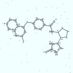 Cc1cc(Cc2ccc(C(=O)NC3CCCC3c3n[nH]c(=S)[nH]3)cc2)c2ccccc2n1